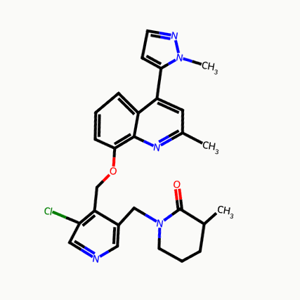 Cc1cc(-c2ccnn2C)c2cccc(OCc3c(Cl)cncc3CN3CCCC(C)C3=O)c2n1